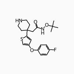 CC(C)(C)ONC(=O)CC1(c2cc(Oc3ccc(F)cc3)cs2)CCNCC1